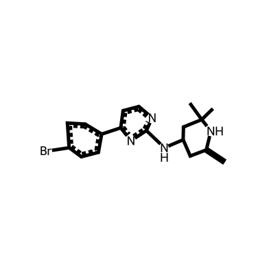 C=C1CC(Nc2nccc(-c3ccc(Br)cc3)n2)CC(C)(C)N1